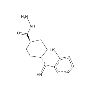 N=C(c1ccccc1S)[C@H]1CC[C@H](C(=O)NN)CC1